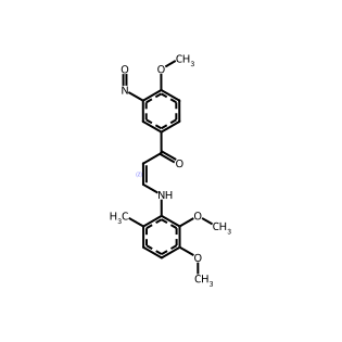 COc1ccc(C(=O)/C=C\Nc2c(C)ccc(OC)c2OC)cc1N=O